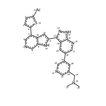 CC(=O)c1ccc(-c2cncc3[nH]c(-c4n[nH]c5ncc(-c6cncc(CN(C)C)c6)cc45)cc23)s1